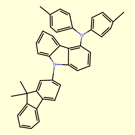 Cc1ccc(N(c2ccc(C)cc2)c2cccc3c2c2ccccc2n3-c2ccc3c(c2)C(C)(C)c2ccccc2-3)cc1